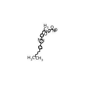 CC(C)CCCCc1ccc(-c2cnc(-c3ccc(C[C@H](C)C(=O)N4CC(C(=O)N=O)C4)cc3)nc2)cc1